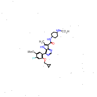 COc1cc(-c2ncnc3c(C(=O)NC4CCC(NC(=O)O)CC4)c(C)[nH]c23)c(OCC2CC2)cc1F